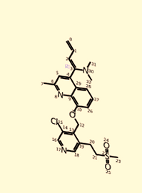 C=C/C=C(/c1cc(C)nc2c(OCc3c(Cl)cncc3CCS(C)(=O)=O)cccc12)N(C)C